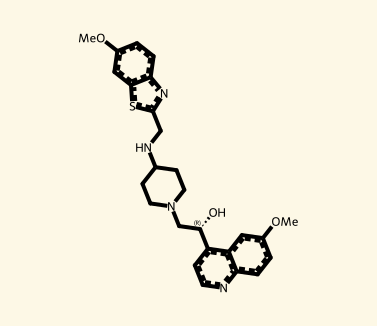 COc1ccc2nc(CNC3CCN(C[C@H](O)c4ccnc5ccc(OC)cc45)CC3)sc2c1